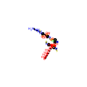 CC(=O)O.CC(=O)O.CC(=O)O.CC(=O)O.CC(=O)O.CN(C)c1cccc2c(S(=O)(=O)Cl)cccc12.NCCNCCN.O=S(=O)(O)C1(S(=O)(=O)O)CC(N=C=S)C=CC1C=Cc1ccc(N=C=S)cc1.O=S(=O)(O)c1cc(N=C=S)ccc1C=Cc1ccc(N=C=S)cc1S(=O)(=O)O